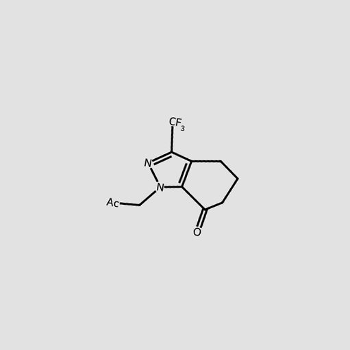 CC(=O)Cn1nc(C(F)(F)F)c2c1C(=O)CCC2